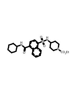 CCOC(=O)N1CCC(NS(=O)(=O)c2ccc(C(=O)NC3CCCCC3)c3ccccc23)CC1